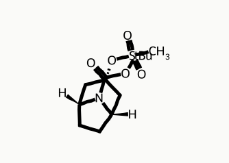 CC(C)(C)OC(=O)N1[C@@H]2CC[C@H]1C[C@@H](OS(C)(=O)=O)C2